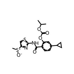 CC(C)OC(=O)Oc1cc(C2CC2)ccc1C(=O)Nc1nc([S+](C)[O-])cs1